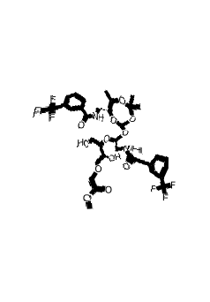 COC(=O)COC[C@H](O)C(CO)O[C@H](CNC(=O)c1cccc(C(F)(F)F)c1)OC1O[C@H](CNC(=O)c2cccc(C(F)(F)F)c2)C(C)OC(C)(C)O1